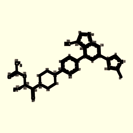 Cc1ncc(-c2cc(-c3ccc(N4CCN(C(=O)[C@H](OC(=O)C(F)(F)F)C(C)C)CC4)nc3)c3c(C#N)cnn3c2)s1